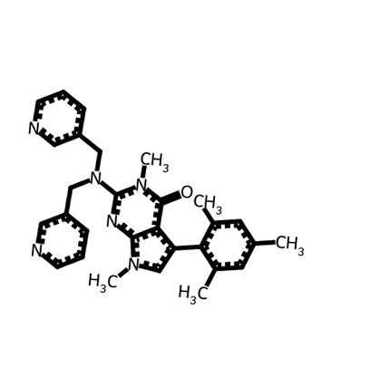 Cc1cc(C)c(-c2cn(C)c3nc(N(Cc4cccnc4)Cc4cccnc4)n(C)c(=O)c23)c(C)c1